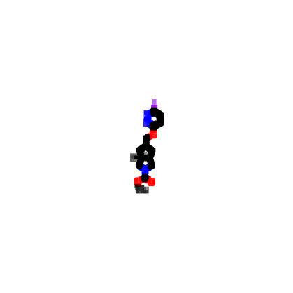 CC(C)(C)OC(=O)N1CC2CC(COc3ccc(I)nn3)C[C@@H]2C1